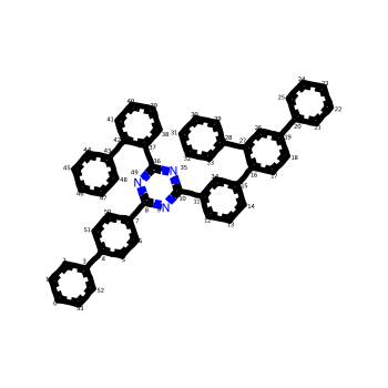 c1ccc(-c2ccc(-c3nc(-c4cccc(-c5ccc(-c6ccccc6)cc5-c5ccccc5)c4)nc(-c4ccccc4-c4ccccc4)n3)cc2)cc1